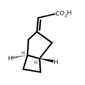 O=C(O)C=C1C[C@@H]2CC[C@H]2C1